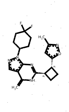 C=C1NC([C@@H]2CC[C@H]2c2cc(C)no2)=Nc2c1cnn2C1CCC(F)(F)CC1